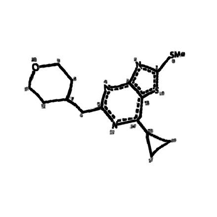 CSc1nc2nc(CC3CCOCC3)nc(C3CC3)c2s1